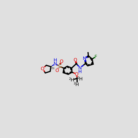 [2H]C([2H])([2H])Oc1ccc(S(=O)(=O)N[C@H]2CCOC2)cc1C(=O)Nc1ccc(F)c(C)n1